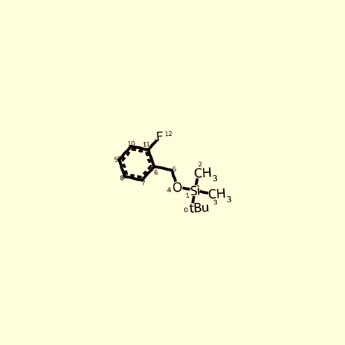 CC(C)(C)[Si](C)(C)OCc1cc[c]cc1F